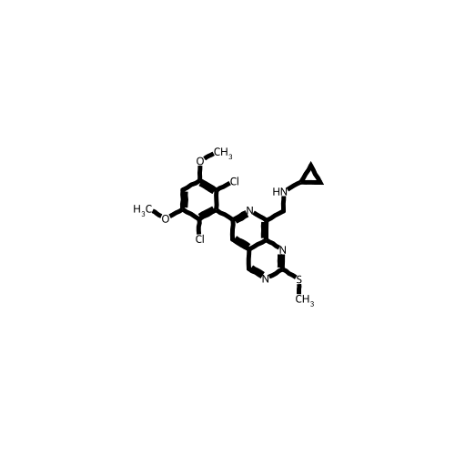 COc1cc(OC)c(Cl)c(-c2cc3cnc(SC)nc3c(CNC3CC3)n2)c1Cl